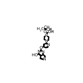 CC(C)(C)OC(O)N1CCN(c2cc(Oc3nc(O)c4ccncc4n3)ccn2)CC1